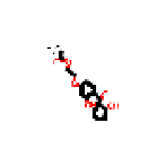 C=CC(=O)OCCOc1ccc(C(=O)c2ccccc2O)c(O)c1